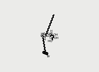 CCCCCCCCCCCCCC[C@@H](O)[C@@H](O)[C@H](COC1OC(CO)C(O)C(O)C1O)N[SH](C)(=O)CCCCCCCCCCC12C3C4C1C1C2C3C41Br